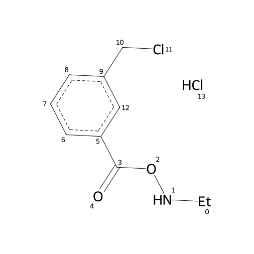 CCNOC(=O)c1cccc(CCl)c1.Cl